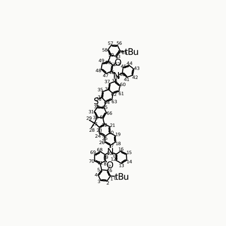 CC(C)(C)c1cccc2c1oc1c(N(c3ccccc3)c3ccc4cc5c(cc4c3)C(C)(C)c3cc4sc6cc7cc(N(c8ccccc8)c8cccc9c8oc8c(C(C)(C)C)cccc89)ccc7cc6c4cc3-5)cccc12